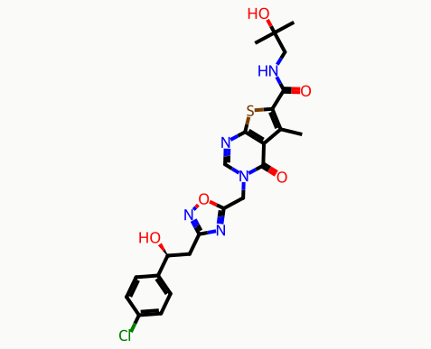 Cc1c(C(=O)NCC(C)(C)O)sc2ncn(Cc3nc(C[C@H](O)c4ccc(Cl)cc4)no3)c(=O)c12